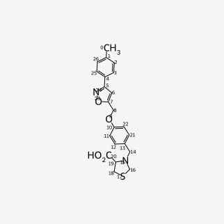 Cc1ccc(-c2cc(COc3ccc(CN4CSCC4C(=O)O)cc3)on2)cc1